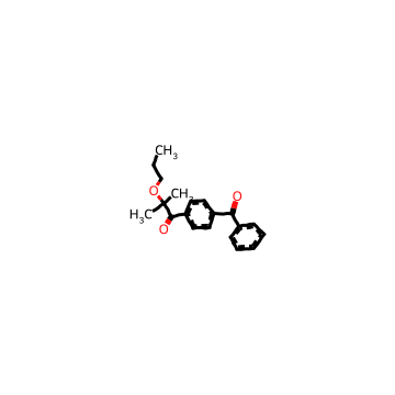 CCCOC(C)(C)C(=O)c1ccc(C(=O)c2ccccc2)cc1